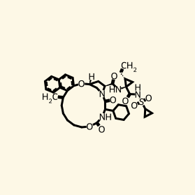 C=C[C@@H]1C[C@]1(NC(=O)[C@@H]1C[C@@H]2CN1C(=O)C(C1CCCCC1)NC(=O)OCCCCCC(=C)c1c(ccc3ccccc13)O2)C(=O)NS(=O)(=O)C1CC1